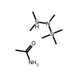 CC(N)=O.CN([SiH](C)C)[Si](C)(C)C